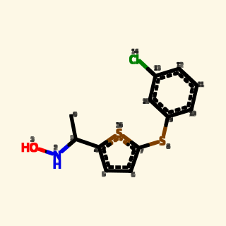 CC(NO)c1ccc(Sc2cccc(Cl)c2)s1